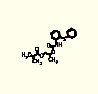 C=C(C)C(=O)OCC(C)OC(=O)Nc1ccccc1Sc1ccccc1